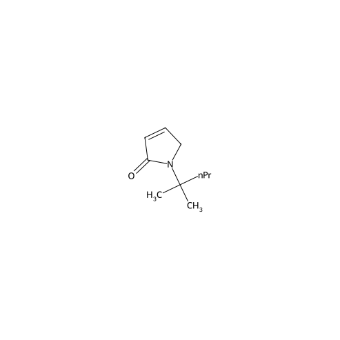 CCCC(C)(C)N1CC=CC1=O